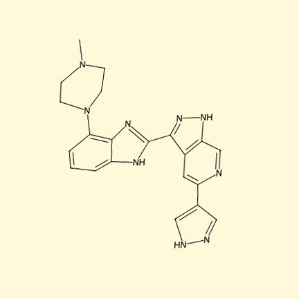 CN1CCN(c2cccc3[nH]c(-c4n[nH]c5cnc(-c6cn[nH]c6)cc45)nc23)CC1